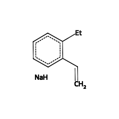 C=Cc1ccccc1CC.[NaH]